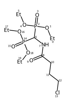 CCOP(=O)(OCC)C(NC(=O)CCCCl)P(=O)(OCC)OCC